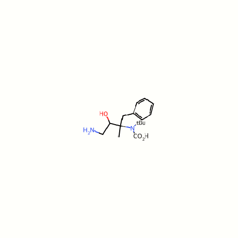 CC(C)(C)N(C(=O)O)C(C)(Cc1ccccc1)C(O)CN